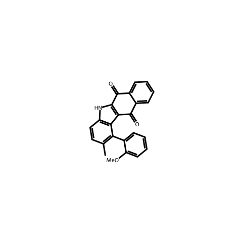 COc1ccccc1-c1c(C)ccc2[nH]c3c(c12)C(=O)c1ccccc1C3=O